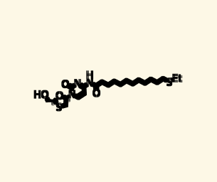 CCSCCCCCCCCCCCC(=O)Nc1ccn([C@H]2CS[C@@H](CO)O2)c(=O)n1